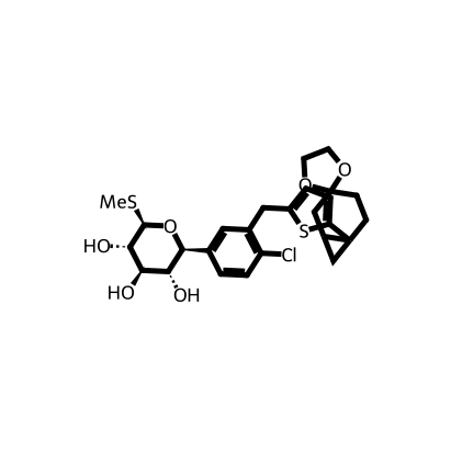 CS[C@H]1O[C@@H](c2ccc(Cl)c(Cc3ccc(C45CCC6(CC4C5)OCCO6)s3)c2)[C@H](O)[C@@H](O)[C@@H]1O